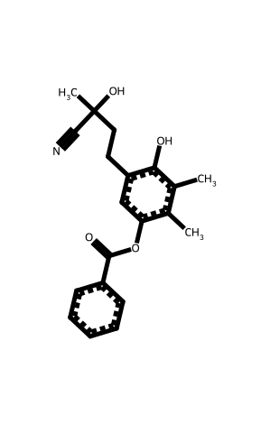 Cc1c(OC(=O)c2ccccc2)cc(CCC(C)(O)C#N)c(O)c1C